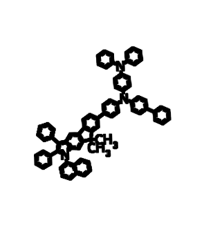 CC1(C)c2cc(-c3ccc(N(c4ccc(-c5ccccc5)cc4)c4ccc(N(c5ccccc5)c5ccccc5)cc4)cc3)ccc2-c2cc3c(-c4ccccc4)c(-c4ccccc4)n(-c4cccc5ccccc45)c3cc21